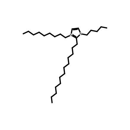 CCCCCCCCCCCCCc1n(CCCCC)cc[n+]1CCCCCCCCC